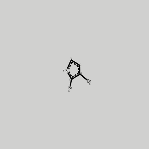 Brc1[c]csc1Br